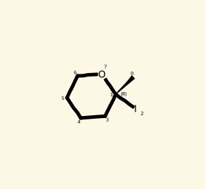 C[C@@]1(I)CCCCO1